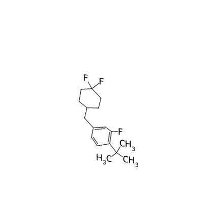 CC(C)(C)c1ccc(CC2CCC(F)(F)CC2)cc1F